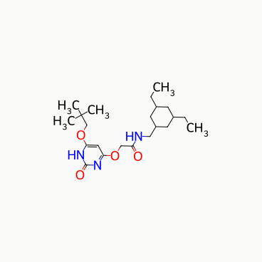 CCC1CC(CC)CC(CNC(=O)COc2cc(OCC(C)(C)C)[nH]c(=O)n2)C1